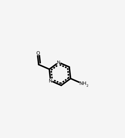 Nc1cnc(C=O)nc1